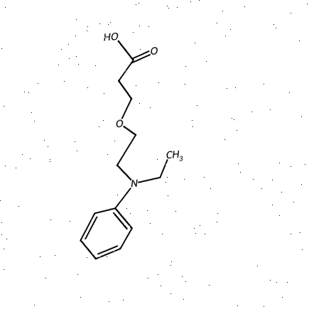 CCN(CCOCCC(=O)O)c1ccccc1